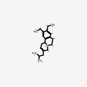 CC(C)CC1=CCC2c3cc(CO)c(CO)cc3CCN2C1